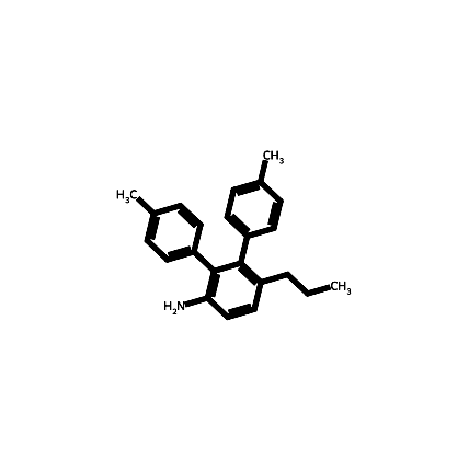 CCCc1ccc(N)c(-c2ccc(C)cc2)c1-c1ccc(C)cc1